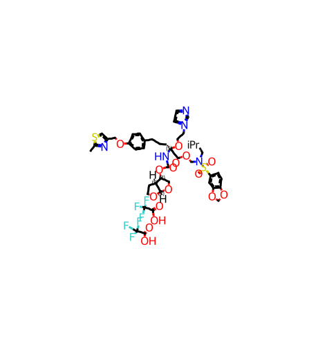 Cc1nc(COc2ccc(CCC[C@](NC(=O)O[C@H]3CO[C@H]4OCC[C@H]43)(OCCn3ccnc3)C(=O)OCN(CC(C)C)S(=O)(=O)c3ccc4c(c3)OCO4)cc2)cs1.O=C(O)C(F)(F)F.O=C(O)C(F)(F)F